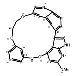 CNc1nc2c3c(c[nH]c3n1)-c1ccc3ncc(cc3c1)OCCOc1cncc(c1)CO2